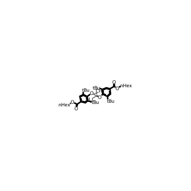 CCCCCCOC(=O)c1cc(C(C)(C)C)c(O[Si](C)(C)Oc2c(C(C)(C)C)cc(C(=O)OCCCCCC)cc2C(C)(C)C)c(C(C)(C)C)c1